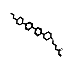 C=CC(=O)CCCOC1CCC(c2ccc(-c3ccc(C4CCC(CCC)CC4)cc3)cc2)CC1